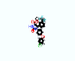 COC(=O)[C@@H]1NC(=O)N(c2ccc(Oc3ccc(Cl)cc3)cc2)C1c1cccc(C(F)(F)F)c1